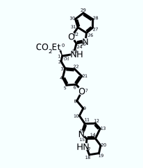 CCOC(=O)[C@H](Cc1ccc(OCCCc2ccc3c(n2)NCCC3)cc1)Nc1nc2ccccc2o1